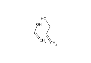 C=CCO.C=CO